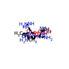 CC(C)C[C@H](NC(=O)[C@H](C)N)C(=O)N[C@@H](CCCNC(=N)N)C(=O)N1CCC[C@H]1C(=O)N[C@@H](CC(N)=O)C(=O)N[C@H](C(N)=O)[C@@H](C)O